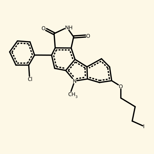 Cn1c2cc(OCCCI)ccc2c2c3c(c(-c4ccccc4Cl)cc21)C(=O)NC3=O